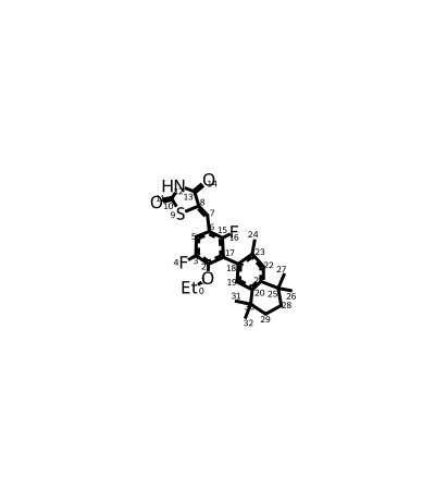 CCOc1c(F)cc(/C=C2\SC(=O)NC2=O)c(F)c1-c1cc2c(cc1C)C(C)(C)CCC2(C)C